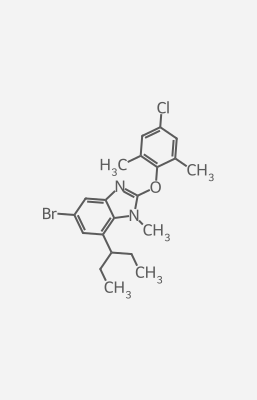 CCC(CC)c1cc(Br)cc2nc(Oc3c(C)cc(Cl)cc3C)n(C)c12